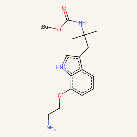 CC(C)(Cc1c[nH]c2c(OCCN)cccc12)NC(=O)OC(C)(C)C